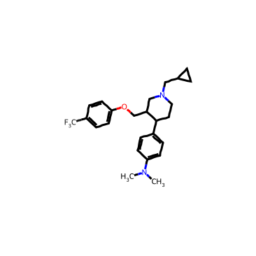 CN(C)c1ccc(C2CCN(CC3CC3)CC2COc2ccc(C(F)(F)F)cc2)cc1